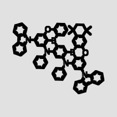 CC1(C)CCC(C)(C)c2cc3c(cc21)Oc1cc(-n2c4ccccc4c4ccccc42)cc2c1B3c1cc3c(cc1N2c1ccccc1)N(c1ccccc1)c1cc(-n2c4ccccc4c4ccccc42)cc2c1B3c1ccccc1O2